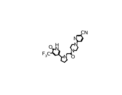 N#Cc1ccc(N2CCN(C(=O)CN3CCCC3c3c[nH]c(=O)c(C(F)(F)F)c3)CC2)nc1